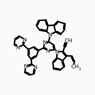 C#Cc1c(/C=C\C)c2ccccc2n1-c1cc(-n2c3ccccc3c3ccccc32)nc(-c2cc(-c3ncccn3)cc(-c3ncccn3)c2)n1